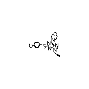 C#CCn1cnc2c(N3CCOCC3)nc(SCc3ccc(OC)cc3)nc21